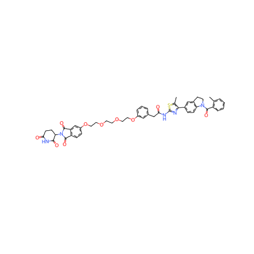 Cc1ccccc1C(=O)N1CCc2cc(-c3nc(NC(=O)Cc4cccc(OCCOCCOCCOc5ccc6c(c5)C(=O)N(C5CCC(=O)NC5=O)C6=O)c4)sc3C)ccc21